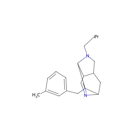 Cc1cccc(CC2C3CC4CN(CC(C)C)C2C4C=N3)c1